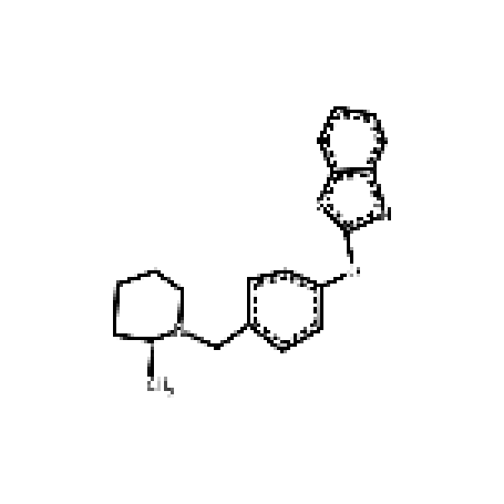 C[C@H]1CCCCN1Cc1ccc(Oc2nc3ccccc3s2)cc1